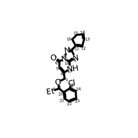 CCC(OCc1cc(=O)n2nc(C3=CC=CCC3)nc2[nH]1)c1ccccc1Cl